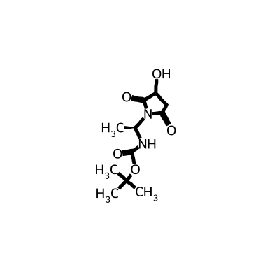 C[C@H](NC(=O)OC(C)(C)C)N1C(=O)CC(O)C1=O